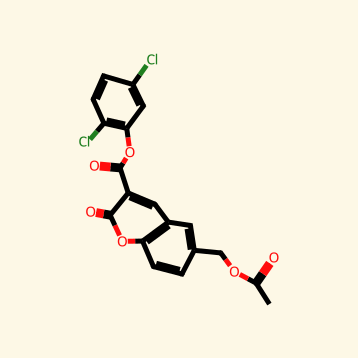 CC(=O)OCc1ccc2oc(=O)c(C(=O)Oc3cc(Cl)ccc3Cl)cc2c1